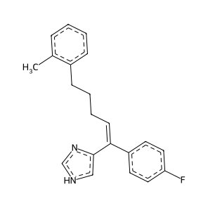 Cc1ccccc1CCCC=C(c1ccc(F)cc1)c1c[nH]cn1